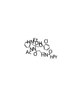 CCCC(=O)NCCCC(=O)N(N(C(C)=O)c1ccccc1)C(O)(CNCC)COc1ccccc1Cl